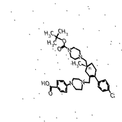 CC(C)(C)OC(=O)N1CCN(C[C@]2(C)CCC(c3ccc(Cl)cc3)=C(CN3CCN(c4ccc(C(=O)O)cc4)CC3)C2)CC1